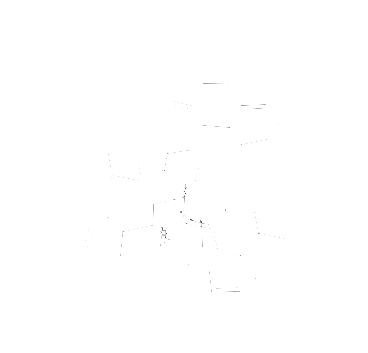 CC(C)c1ccccc1-c1cccc2c1C=C(c1ccccc1)[CH]2[Hf]([Cl])([Cl])([CH]1C(c2ccccc2)=Cc2c(-c3ccccc3C(C)C)cccc21)[SiH](C)C